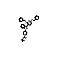 CC(C)(C)OC(=O)N1CCC(n2nc(-c3ccc(OCc4ccccc4)nc3OCc3ccccc3)c3ccccc32)CC1